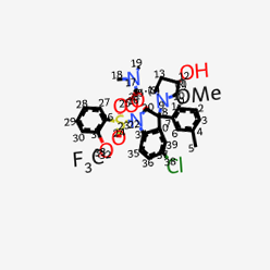 COc1ccc(C)cc1C1(N2C[C@H](O)C[C@H]2C(=O)N(C)C)C(=O)N(S(=O)(=O)c2ccccc2OC(F)(F)F)c2ccc(Cl)cc21